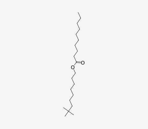 CCCCCCCCCC(=O)OCCCCCCCC(C)(C)C